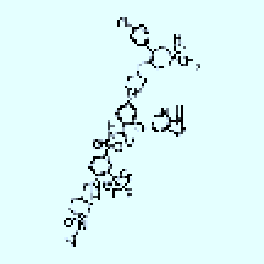 CC1(C)CCC(CN2CCN(c3ccc(C(=O)NS(=O)(=O)c4ccc(NCC5CCS(=O)(=NC6CC6)CC5)c(S(=O)(=O)C(F)(F)F)c4)c(Oc4cnc5[nH]ccc5c4)c3)CC2)=C(c2ccc(Cl)cc2)C1